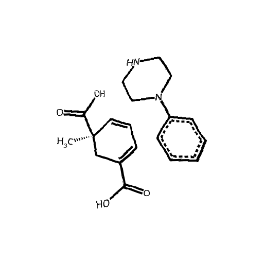 C[C@]1(C(=O)O)C=CC=C(C(=O)O)C1.c1ccc(N2CCNCC2)cc1